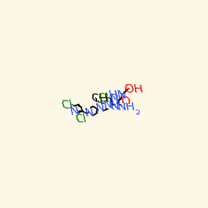 CC[C@H]1CN(c2nc(N)c(C(=O)NCCO)nc2Cl)CCN1C1CCN(Cc2ccc(Cl)nc2Cl)CC1